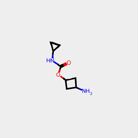 NC1CC(OC(=O)NC2CC2)C1